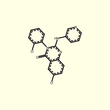 O=c1c2cc(Cl)ccc2nc(Nc2cccnc2)n1-c1ccccc1Cl